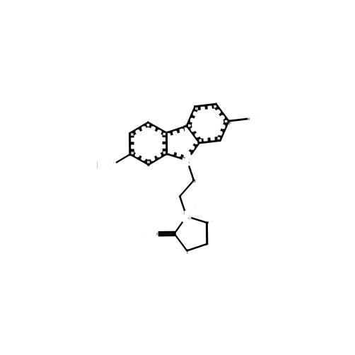 Bc1ccc2c3ccc(I)cc3n(CCN3CCCC3=O)c2c1